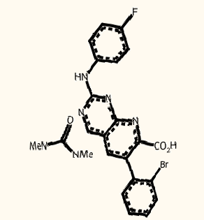 CNC(=O)NC.O=C(O)c1nc2nc(Nc3ccc(F)cc3)ncc2cc1-c1ccccc1Br